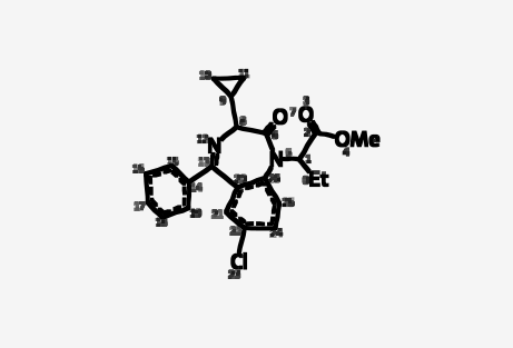 CCC(C(=O)OC)N1C(=O)C(C2CC2)N=C(c2ccccc2)c2cc(Cl)ccc21